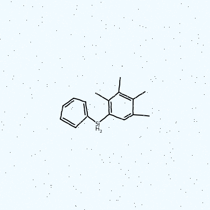 Cc1cc([SiH2]c2ccccc2)c(C)c(C)c1C